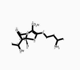 CC(N)CCSC1=C(C(=O)O)N2C(=O)C(C(C)O)[C@H]2S1